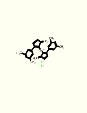 C=C1C=CC(c2cc(C)cc(C)c2)=[C]1[Zr+2][C]1=C(c2cc(C)cc(C)c2)C=CC1=C.[Cl-].[Cl-]